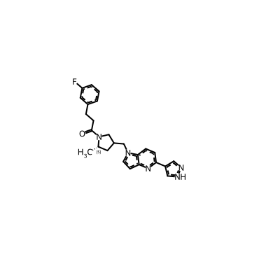 C[C@H]1CC(Cn2ccc3nc(-c4cn[nH]c4)ccc32)CN1C(=O)CCc1cccc(F)c1